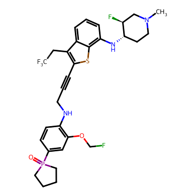 CN1CC[C@H](Nc2cccc3c(CC(F)(F)F)c(C#CCNc4ccc(P5(=O)CCCC5)cc4OCF)sc23)[C@@H](F)C1